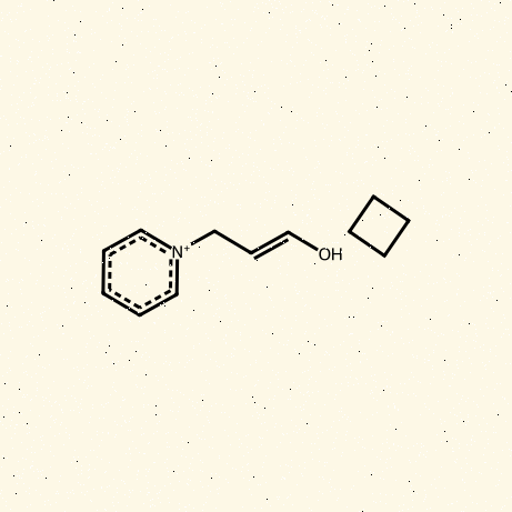 C1CCC1.OC=CC[n+]1ccccc1